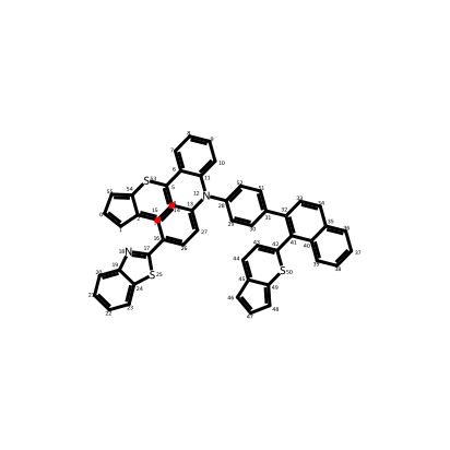 c1cc2ccc(-c3ccccc3N(c3ccc(-c4nc5ccccc5s4)cc3)c3ccc(-c4ccc5ccccc5c4-c4ccc5cccc-5s4)cc3)sc-2c1